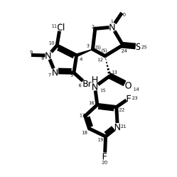 CN1C[C@H](c2c(Br)nn(C)c2Cl)[C@@H](C(=O)Nc2ccc(F)nc2F)C1=S